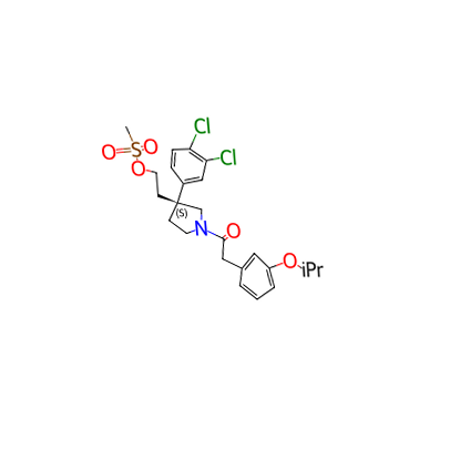 CC(C)Oc1cccc(CC(=O)N2CC[C@](CCOS(C)(=O)=O)(c3ccc(Cl)c(Cl)c3)C2)c1